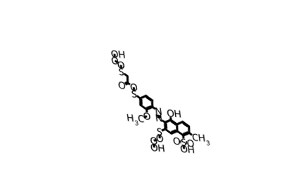 COc1cc(SOC(=O)CSOOO)ccc1N=Nc1c(SOOO)cc2c(S(=O)(=O)O)c(C)ccc2c1O